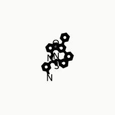 N#Cc1cccc(-c2nc(-c3cccc4oc5c(-c6ccccc6)cc(-c6ccccc6)cc5c34)nc3c2sc2ccccc23)c1